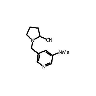 CNc1cncc(CN2CCCC2C#N)c1